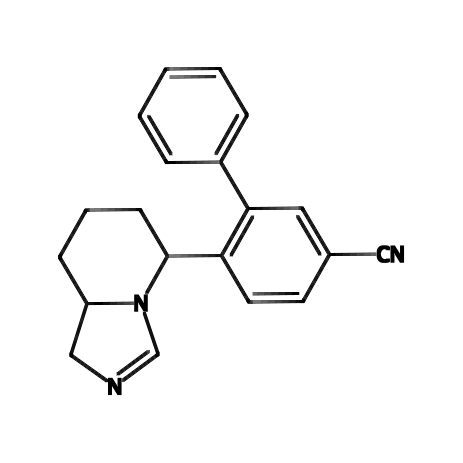 N#Cc1ccc(C2CCCC3CN=CN32)c(-c2ccccc2)c1